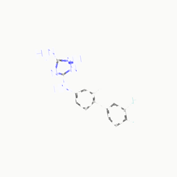 Nc1nc(Nc2ccc(-c3ccc(F)c(F)c3)c(C(F)(F)F)c2)n[nH]1